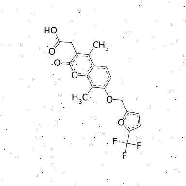 Cc1c(CC(=O)O)c(=O)oc2c(C)c(OCc3ccc(C(F)(F)F)o3)ccc12